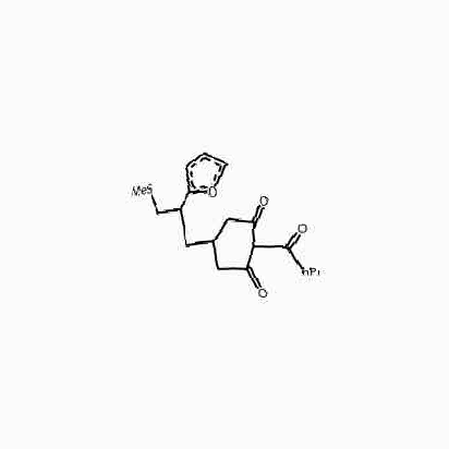 CCCC(=O)C1C(=O)CC(CC(CSC)c2ccco2)CC1=O